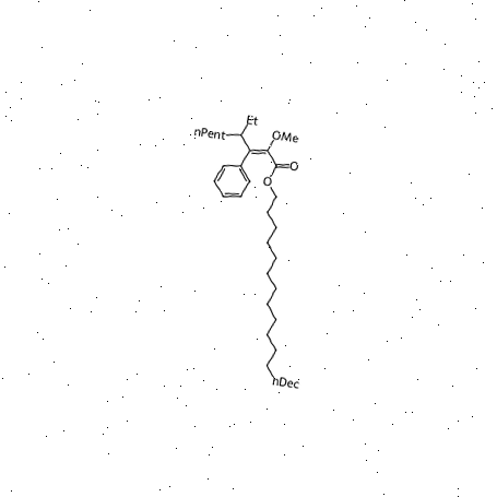 CCCCCCCCCCCCCCCCCCCCCCOC(=O)C(OC)=C(c1ccccc1)C(CC)CCCCC